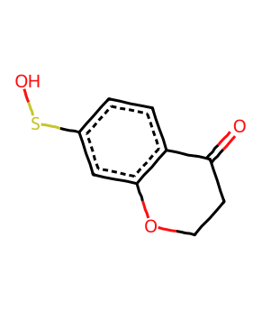 O=C1CCOc2cc(SO)ccc21